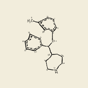 Cc1cccc(OC(c2ccccc2)C2CCNCC2)c1